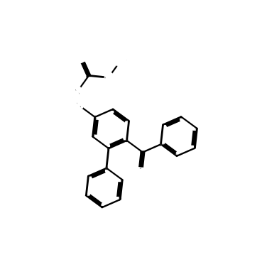 CCCOC(N)=O.O=C(c1ccccc1)c1ccc([N+](=O)[O-])cc1-c1ccccc1